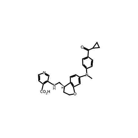 CN(c1ccc(C(=O)C2CC2)cc1)c1ccc2c(c1)OCC[C@H]2CNc1cnccc1C(=O)O